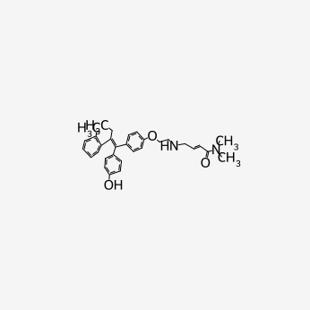 CCC(=C(c1ccc(O)cc1)c1ccc(OCCNCC=CC(=O)N(C)C)cc1)c1ccccc1C